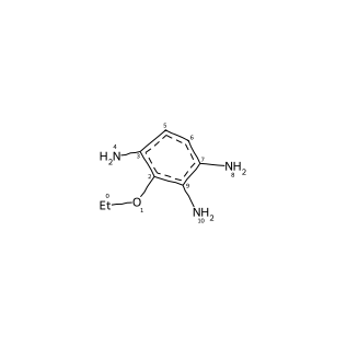 CCOc1c(N)ccc(N)c1N